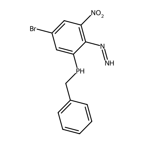 N=Nc1c(PCc2ccccc2)cc(Br)cc1[N+](=O)[O-]